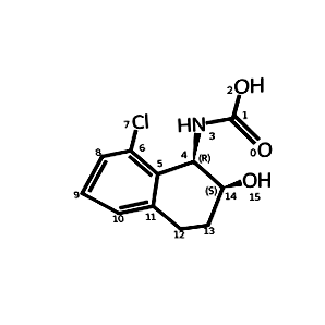 O=C(O)N[C@@H]1c2c(Cl)cccc2CC[C@@H]1O